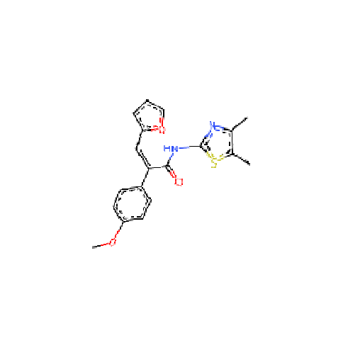 COc1ccc(/C(=C/c2ccco2)C(=O)Nc2nc(C)c(C)s2)cc1